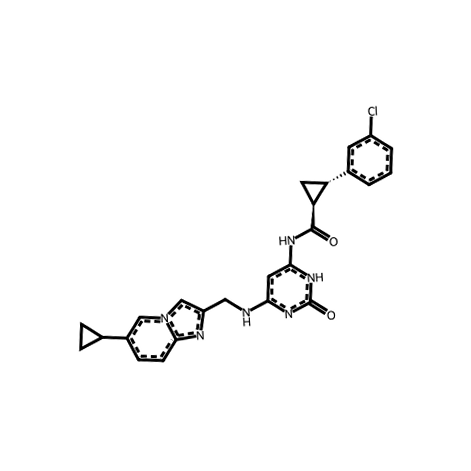 O=C(Nc1cc(NCc2cn3cc(C4CC4)ccc3n2)nc(=O)[nH]1)[C@H]1C[C@@H]1c1cccc(Cl)c1